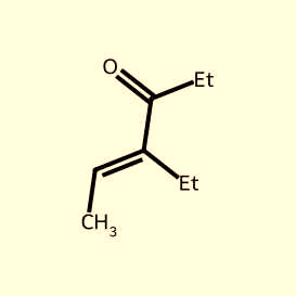 C/C=C(\CC)C(=O)CC